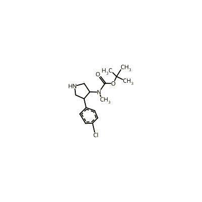 CN(C(=O)OC(C)(C)C)C1CNCC1c1ccc(Cl)cc1